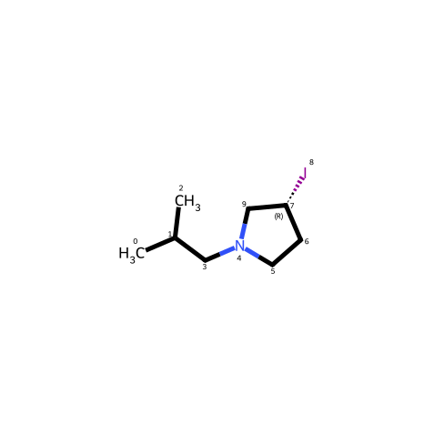 CC(C)CN1CC[C@@H](I)C1